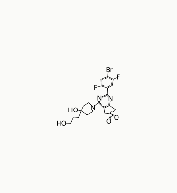 O=S1(=O)Cc2nc(-c3cc(F)c(Br)cc3F)nc(N3CCC(O)(CCCO)CC3)c2C1